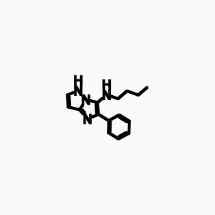 CCCCNc1c(-c2ccccc2)nc2cc[nH]n12